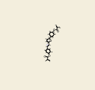 C=C(C)C(=O)Oc1ccc(/C=C/c2ccc(-c3ccc(OC(=O)C(=C)C)cc3)o2)cc1